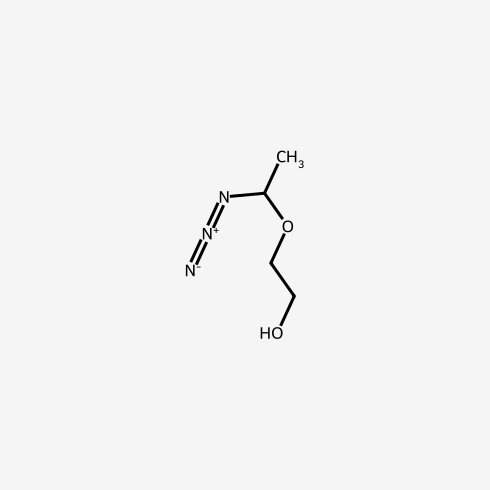 CC(N=[N+]=[N-])OCCO